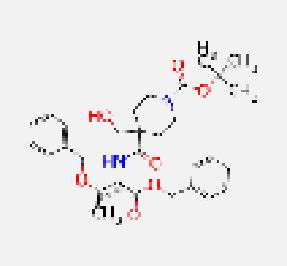 C[C@@H](OCc1ccccc1)[C@H](NC(=O)C1(CO)CCN(C(=O)OC(C)(C)C)CC1)C(=O)OCc1ccccc1